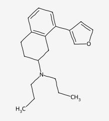 CCCN(CCC)C1CCc2cccc(-c3ccoc3)c2C1